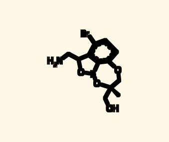 C[C@]1(CO)COc2ccc(Br)c3c2B(OC3CN)O1